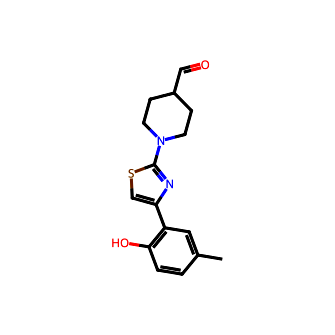 Cc1ccc(O)c(-c2csc(N3CCC(C=O)CC3)n2)c1